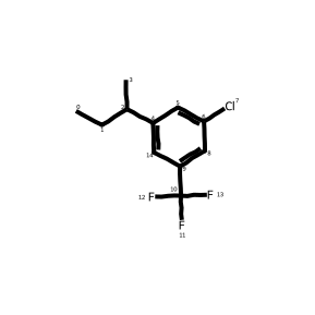 CCC(C)c1cc(Cl)cc(C(F)(F)F)c1